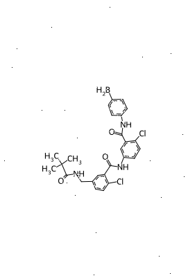 Bc1ccc(NC(=O)c2cc(NC(=O)c3cc(CNC(=O)C(C)(C)C)ccc3Cl)ccc2Cl)cc1